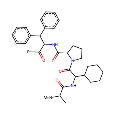 CCC(=O)C(NC(=O)C1CCCN1C(=O)C(NC(=O)C(C)NC)C1CCCCC1)C(c1ccccc1)c1ccccc1